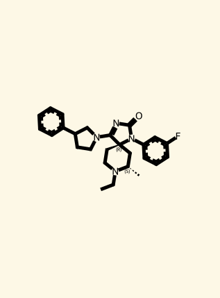 CCN1CC[C@@]2(C[C@@H]1C)C(N1CCC(c3ccccc3)C1)=NC(=O)N2c1cccc(F)c1